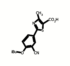 CCC(C)Oc1ccc(-c2nc(C)c(C(=O)O)s2)cc1C#N